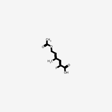 CC(=O)OC/C=C(C)/C=C(\F)C(=O)O